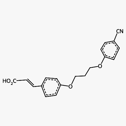 N#Cc1ccc(OCCCOc2ccc(C=CC(=O)O)cc2)cc1